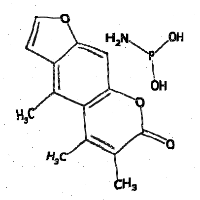 Cc1c(C)c2c(C)c3ccoc3cc2oc1=O.NP(O)O